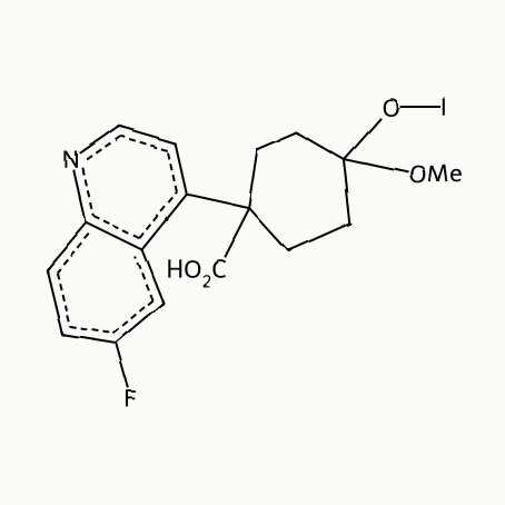 COC1(OI)CCC(C(=O)O)(c2ccnc3ccc(F)cc23)CC1